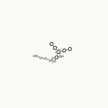 CC(Oc1ccc(-c2nc(-c3ccc(-c4ccccc4)cc3)nc(-c3ccc(-c4ccccc4)cc3)n2)c(O)c1)C(=O)OCCOCCOCCO